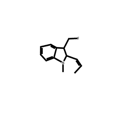 C/C=C\C1C(CF)c2ccccc2N1C